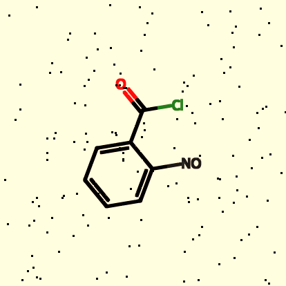 O=Nc1ccccc1C(=O)Cl